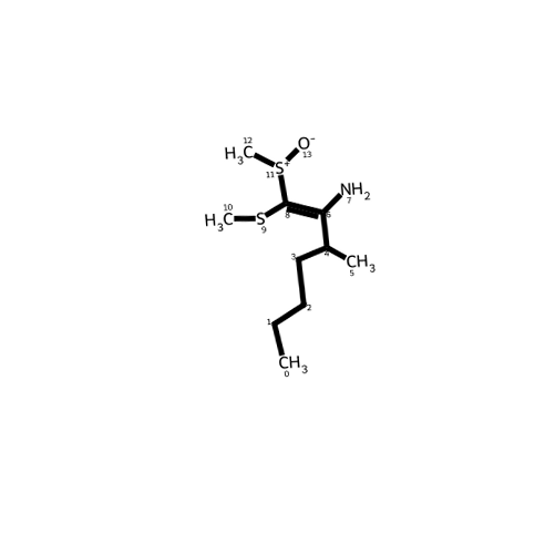 CCCCC(C)/C(N)=C(\SC)[S+](C)[O-]